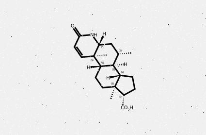 C[C@H]1C[C@H]2NC(=O)C=C[C@]2(C)[C@H]2CC[C@]3(C)[C@@H](C(=O)O)CC[C@H]3[C@H]12